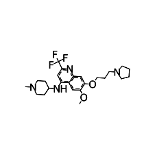 COc1cc2c(NC3CCN(C)CC3)cc(C(F)(F)F)nc2cc1OCCCN1CCCC1